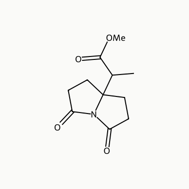 COC(=O)C(C)C12CCC(=O)N1C(=O)CC2